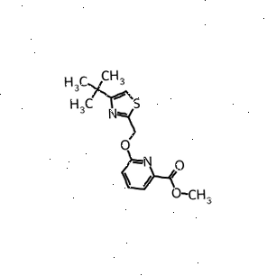 COC(=O)c1cccc(OCc2nc(C(C)(C)C)cs2)n1